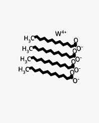 CCCCCCCCCCCC(=O)[O-].CCCCCCCCCCCC(=O)[O-].CCCCCCCCCCCC(=O)[O-].CCCCCCCCCCCC(=O)[O-].[W+4]